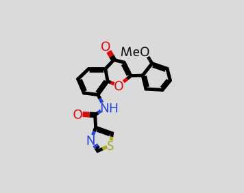 COc1ccccc1-c1cc(=O)c2cccc(NC(=O)c3cscn3)c2o1